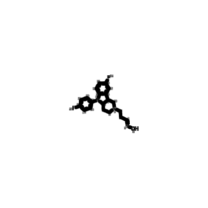 ON=CCCN1CCC2C(C1)c1cc(F)ccc1N2c1ccc(F)cc1